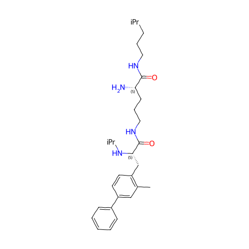 Cc1cc(-c2ccccc2)ccc1C[C@H](NC(C)C)C(=O)NCCC[C@H](N)C(=O)NCCCC(C)C